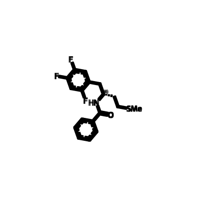 CSCC[C@@H](Cc1cc(F)c(F)cc1F)NC(=O)c1ccccc1